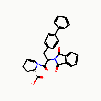 O=C(O)[C@@H]1CCC=CN1C(=O)C(Cc1ccc(-c2ccccc2)cc1)N1C(=O)c2ccccc2C1=O